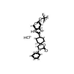 Cl.O=C1OC2(CCC(c3nc4cc(OC(F)(F)F)ccc4[nH]3)CC2)CN1c1ccccc1